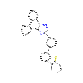 C/C=C\c1sc2c(-c3cccc(-c4cnc5c6ccccc6c6ccccc6c5n4)c3)cccc2c1C